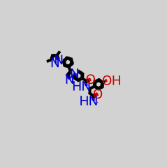 CNC(=O)CC(NC(=O)c1ccn2c(-c3cccc(-n4nc(C)cc4C)c3)cnc2c1)c1ccc(O)cc1